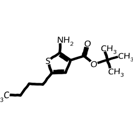 CCCCc1cc(C(=O)OC(C)(C)C)c(N)s1